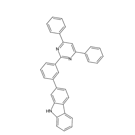 c1ccc(-c2cc(-c3ccccc3)nc(-c3cccc(-c4ccc5c(c4)[nH]c4ccccc45)c3)n2)cc1